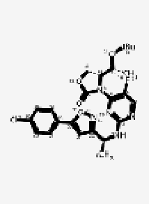 C[C@H](Nc1ncc(F)c(N2C(=O)OC[C@@H]2[C@@H](C)OC(C)(C)C)n1)c1cc(-c2ccc(Cl)cc2)on1